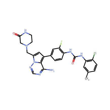 Nc1ncnn2c(CN3CCNC(=O)C3)cc(-c3ccc(NC(=O)Nc4cc(C(F)(F)F)ccc4Cl)c(F)c3)c12